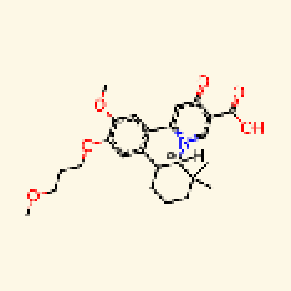 COCCCOc1cc2c(cc1OC)-c1cc(=O)c(C(=O)O)cn1[C@H]1C2CCCC1(C)C